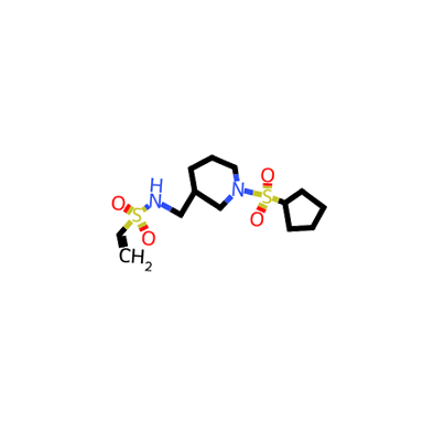 C=CS(=O)(=O)NCC1CCCN(S(=O)(=O)C2CCCC2)C1